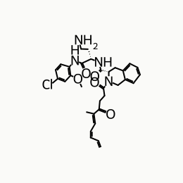 C=C/C=C\C=C(/C)C(=O)CCC(=O)N1Cc2ccccc2C[C@H]1C(=O)N[C@@H](CCN)C(=O)Nc1ccc(Cl)cc1OC